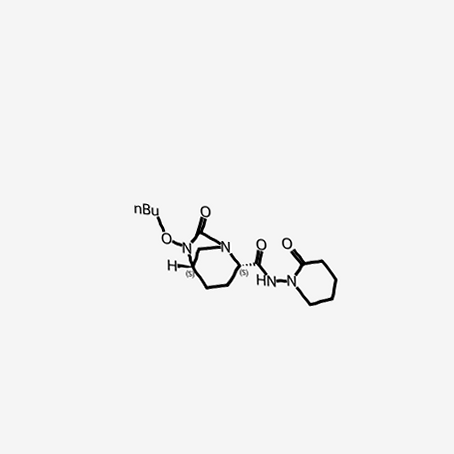 CCCCON1C(=O)N2C[C@@H]1CC[C@H]2C(=O)NN1CCCCC1=O